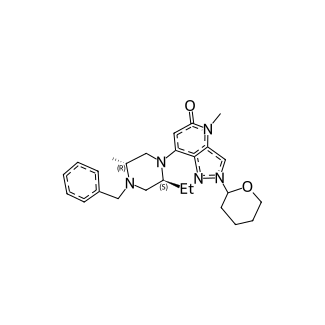 CC[C@H]1CN(Cc2ccccc2)[C@H](C)CN1c1cc(=O)n(C)c2cn(C3CCCCO3)nc12